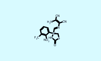 N#CC(N)=C(C#N)N=C[N+]1(c2cccc(C(F)(F)F)c2[N+](=O)[O-])CSC(=O)N1